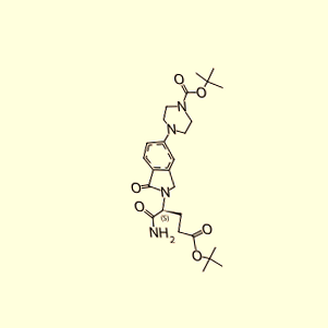 CC(C)(C)OC(=O)CC[C@@H](C(N)=O)N1Cc2cc(N3CCN(C(=O)OC(C)(C)C)CC3)ccc2C1=O